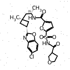 C[C@@H](C[C@]1(C)C[C@@H](c2nc3cc(Cl)ccc3o2)C1)NC(=O)c1ccc(S(=O)(=O)NC(=O)C2CCOC2)o1